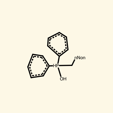 CCCCCCCCCC[PH](O)(c1ccccc1)c1ccccc1